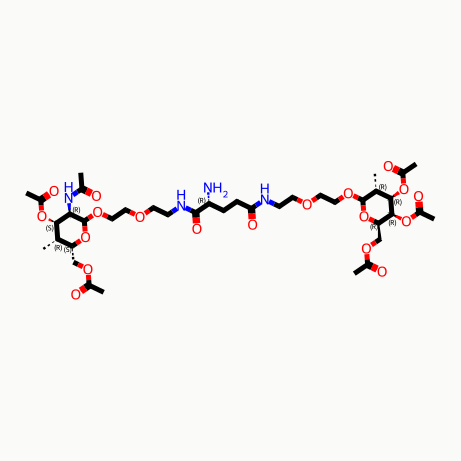 CC(=O)N[C@H]1C(OCCOCCNC(=O)[C@H](N)CCC(=O)NCCOCCOC2O[C@H](COC(C)=O)[C@H](OC(C)=O)[C@H](OC(C)=O)[C@H]2C)O[C@H](COC(C)=O)[C@H](C)[C@@H]1OC(C)=O